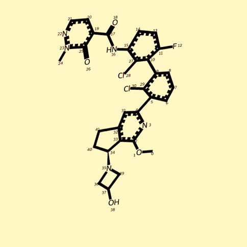 COc1nc(-c2cccc(-c3c(F)ccc(NC(=O)c4ccnn(C)c4=O)c3Cl)c2Cl)cc2c1[C@@H](N1CC(O)C1)CC2